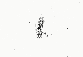 Cc1cccnc1N1CCCN(c2nc3ccc(C(F)(F)F)cc3[nH]2)CC1